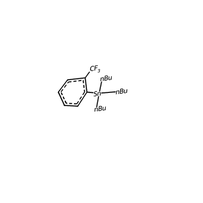 CCC[CH2][Sn]([CH2]CCC)([CH2]CCC)[c]1ccccc1C(F)(F)F